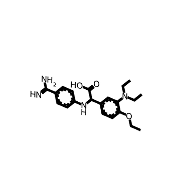 CCOc1ccc(C(Nc2ccc(C(=N)N)cc2)C(=O)O)cc1N(CC)CC